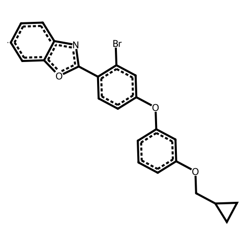 Brc1cc(Oc2cccc(OCC3CC3)c2)ccc1-c1nc2cc[c]cc2o1